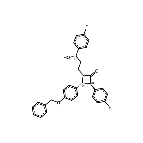 O=C1[C@@H](c2ccc(F)cc2)[C@H](c2ccc(OCc3ccccc3)cc2)N1CC[C@H](O)c1ccc(F)cc1